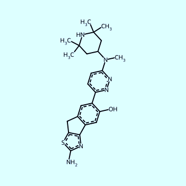 CN(c1ccc(-c2cc3c(cc2O)-c2nc(N)sc2C3)nn1)C1CC(C)(C)NC(C)(C)C1